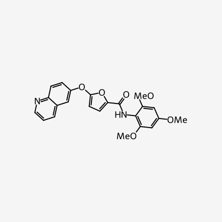 COc1cc(OC)c(NC(=O)c2ccc(Oc3ccc4ncccc4c3)o2)c(OC)c1